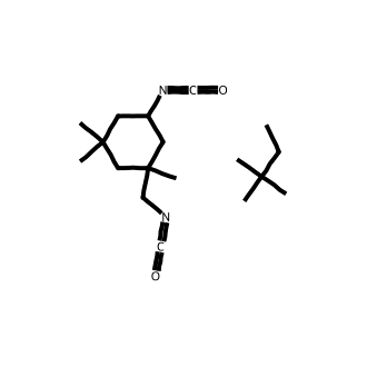 CC1(C)CC(N=C=O)CC(C)(CN=C=O)C1.CCC(C)(C)C